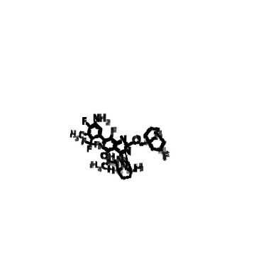 Cc1c(F)c(N)cc(-c2nc3c4c(nc(OC[C@@]56CCCN5C[C@H](F)C6)nc4c2F)N2C[C@H]4CC[C@H](N4)[C@@H]2[C@H](C)O3)c1C(F)(F)F